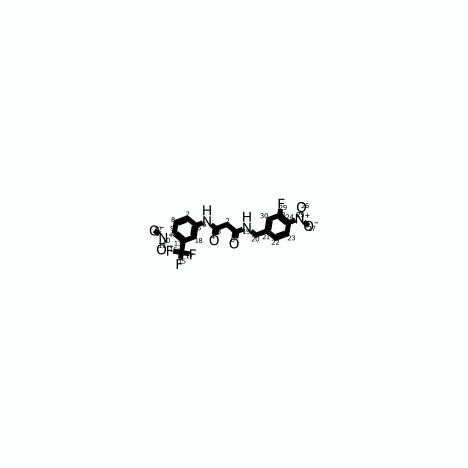 O=C(CC(=O)Nc1ccc([N+](=O)[O-])c(C(F)(F)F)c1)NCc1ccc([N+](=O)[O-])c(F)c1